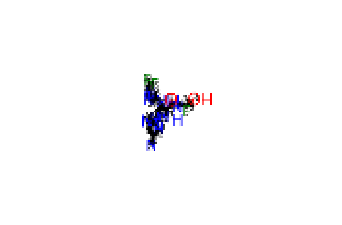 CC(C)(O)[C@H](F)CNC(=O)c1cnc(-n2cnc3cc(C#N)cnc32)cc1Nc1cnn(CC(F)F)c1